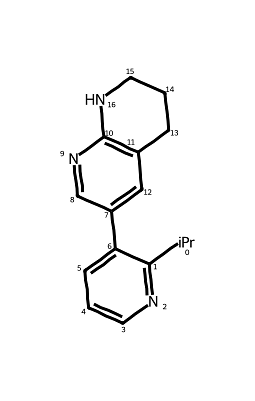 CC(C)c1ncccc1-c1cnc2c(c1)CCCN2